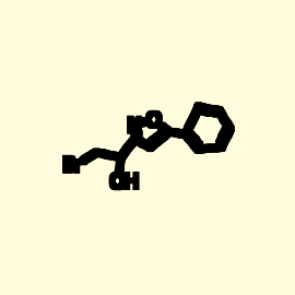 OC(CBr)c1cc(-c2ccccc2)on1